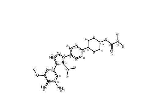 COc1cc(-c2[nH]nc(-c3ccc(C4CCN(CC(=O)N(C)C)CC4)cn3)c2C(C)C)cn(N)c1=N